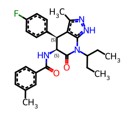 CCC(CC)N1C(=O)[C@@H](NC(=O)c2cccc(C)c2)[C@@H](c2ccc(F)cc2)c2c(C)n[nH]c21